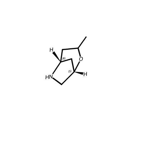 CC1C[C@@H]2C[C@@H](CN2)O1